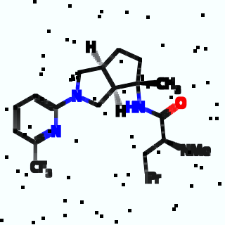 CN[C@@H](CC(C)C)C(=O)N[C@@]1(C)CC[C@@H]2CN(c3cccc(C(F)(F)F)n3)C[C@@H]21